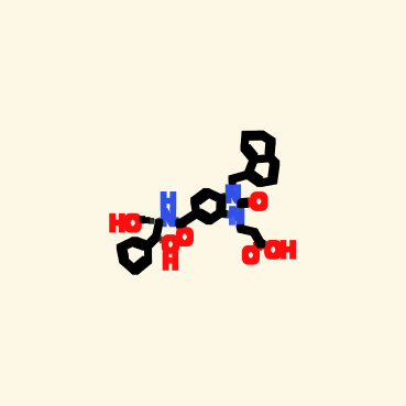 O=C(O)CCn1c(=O)n(Cc2cccc3ccccc23)c2ccc(C(=O)N[C@@H](CO)[C@H](O)c3ccccc3)cc21